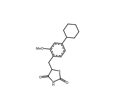 COc1cc(C2CCCCC2)ccc1CC1SC(=O)NC1=O